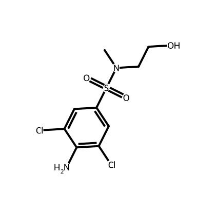 CN(CCO)S(=O)(=O)c1cc(Cl)c(N)c(Cl)c1